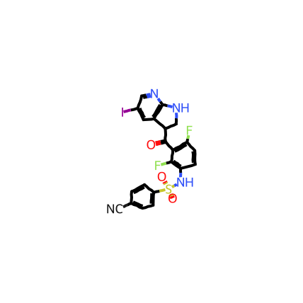 N#Cc1ccc(S(=O)(=O)Nc2ccc(F)c(C(=O)C3CNc4ncc(I)cc43)c2F)cc1